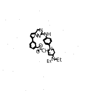 CCN(CC)C1CCN(c2ccc(Nc3ncc4ccc(-c5cccc(S(C)(=O)=O)c5)n4n3)cc2)CC1